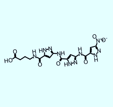 O=C(O)CCCNC(=O)c1cc(NC(=O)c2cc(NC(=O)c3cc([N+](=O)[O-])n[nH]3)n[nH]2)n[nH]1